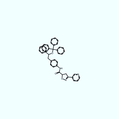 O=C(Nc1ccc(CC(OC(c2ccccc2)(c2ccccc2)c2ccccc2)c2ccccc2)cc1)C1CC(c2cccnc2)=NO1